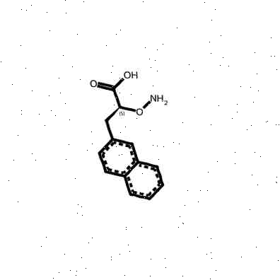 NO[C@@H](Cc1ccc2ccccc2c1)C(=O)O